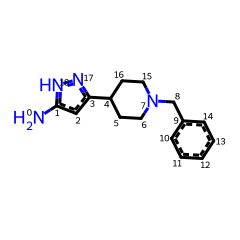 Nc1cc(C2CCN(Cc3ccccc3)CC2)n[nH]1